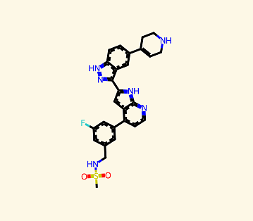 CS(=O)(=O)NCc1cc(F)cc(-c2ccnc3[nH]c(-c4n[nH]c5ccc(C6=CCNCC6)cc45)cc23)c1